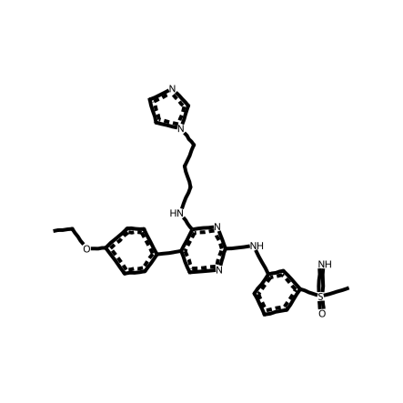 CCOc1ccc(-c2cnc(Nc3cccc(S(C)(=N)=O)c3)nc2NCCCn2ccnc2)cc1